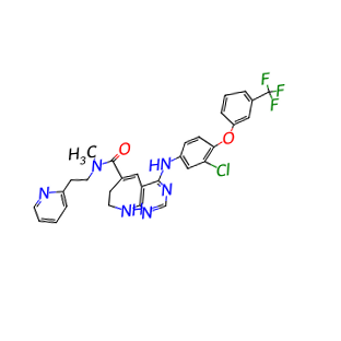 CN(CCc1ccccn1)C(=O)C1=Cc2c(ncnc2Nc2ccc(Oc3cccc(C(F)(F)F)c3)c(Cl)c2)NCC1